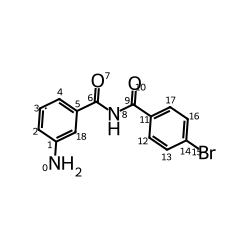 Nc1c[c]cc(C(=O)NC(=O)c2ccc(Br)cc2)c1